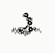 COc1cc(OC)cc(N(CCCO[Si](C)(C)C(C)(C)C)c2ccc3ncc(-c4cccnc4)nc3c2)c1